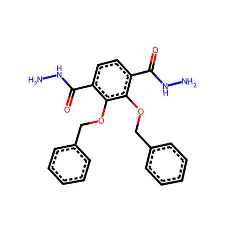 NNC(=O)c1ccc(C(=O)NN)c(OCc2ccccc2)c1OCc1ccccc1